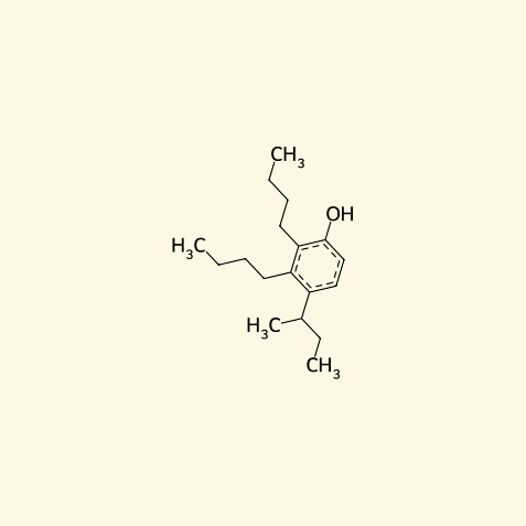 CCCCc1c(O)ccc(C(C)CC)c1CCCC